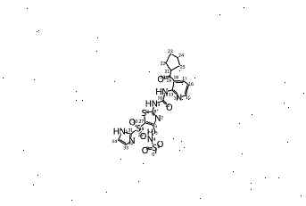 CS(=O)(=O)NCc1nc(NC(=O)Nc2ncccc2C(=O)C2CCCC2)sc1S(=O)(=O)c1ncc[nH]1